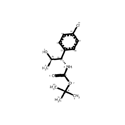 C[C@@H](O)[C@@H](NC(=O)OC(C)(C)C)c1ccc(Cl)cc1